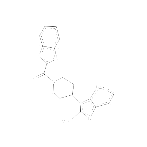 COc1nc2cccnc2n1C1CCN(C(=O)c2nc3ccccc3s2)CC1